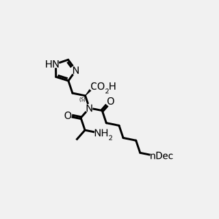 CCCCCCCCCCCCCCCC(=O)N(C(=O)C(C)N)[C@@H](Cc1c[nH]cn1)C(=O)O